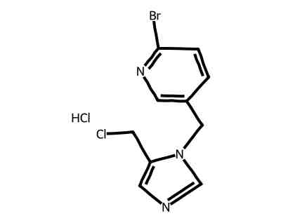 Cl.ClCc1cncn1Cc1ccc(Br)nc1